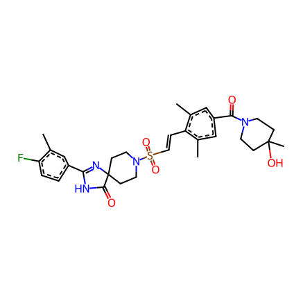 Cc1cc(C2=NC3(CCN(S(=O)(=O)C=Cc4c(C)cc(C(=O)N5CCC(C)(O)CC5)cc4C)CC3)C(=O)N2)ccc1F